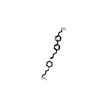 CCCCC[C@H]1CC[C@H](C=CCCc2ccc(-c3ccc(CCC)cn3)cc2)CC1